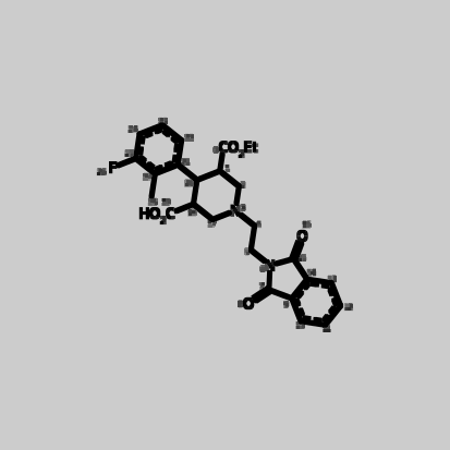 CCOC(=O)C1CN(CCN2C(=O)c3ccccc3C2=O)CC(C(=O)O)C1c1cccc(F)c1C